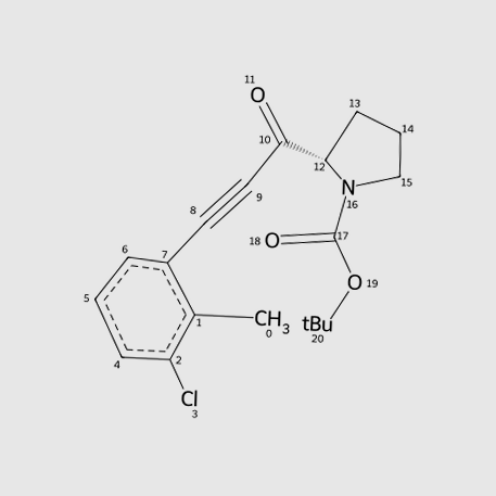 Cc1c(Cl)cccc1C#CC(=O)[C@@H]1CCCN1C(=O)OC(C)(C)C